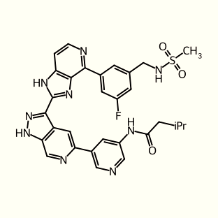 CC(C)CC(=O)Nc1cncc(-c2cc3c(-c4nc5c(-c6cc(F)cc(CNS(C)(=O)=O)c6)nccc5[nH]4)n[nH]c3cn2)c1